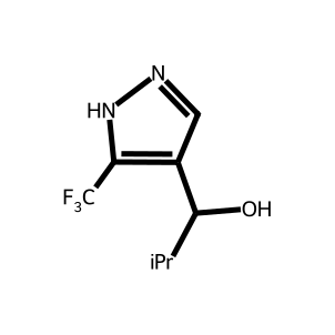 CC(C)C(O)c1cn[nH]c1C(F)(F)F